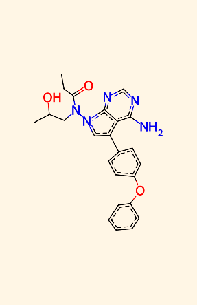 CCC(=O)N(CC(C)O)n1cc(-c2ccc(Oc3ccccc3)cc2)c2c(N)ncnc21